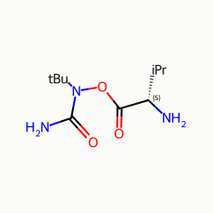 CC(C)[C@H](N)C(=O)ON(C(N)=O)C(C)(C)C